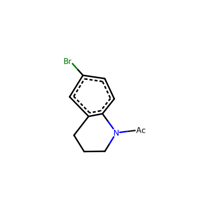 CC(=O)N1CCCc2cc(Br)ccc21